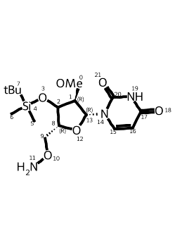 CO[C@@H]1C(O[Si](C)(C)C(C)(C)C)[C@@H](CON)O[C@H]1n1ccc(=O)[nH]c1=O